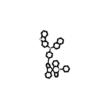 c1ccc(N2c3ccccc3C3(c4ccccc4-c4ccc(-c5ccc(N(c6ccc7ccccc7c6)c6ccc7oc8ccccc8c7c6)cc5)cc43)c3ccccc32)cc1